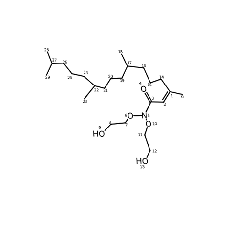 CC(=CC(=O)N(OCCO)OCCO)CCCC(C)CCCC(C)CCCC(C)C